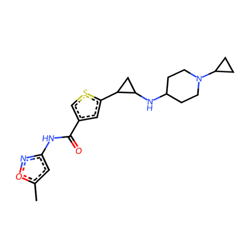 Cc1cc(NC(=O)c2csc(C3CC3NC3CCN(C4CC4)CC3)c2)no1